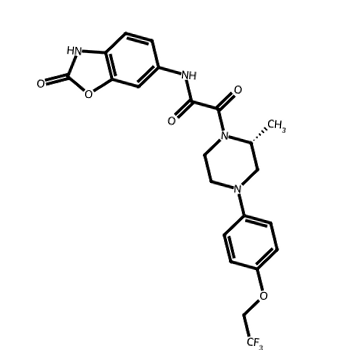 C[C@@H]1CN(c2ccc(OCC(F)(F)F)cc2)CCN1C(=O)C(=O)Nc1ccc2[nH]c(=O)oc2c1